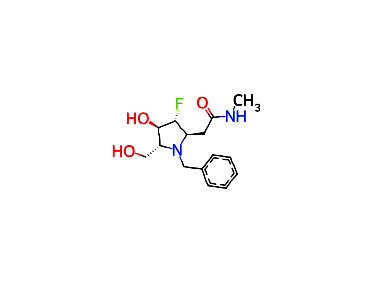 CNC(=O)C[C@@H]1[C@@H](F)[C@H](O)[C@@H](CO)N1Cc1ccccc1